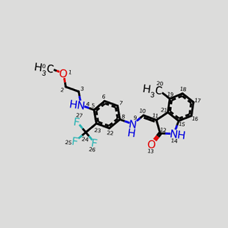 COCCNc1ccc(NC=C2C(=O)Nc3cccc(C)c32)cc1C(F)(F)F